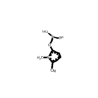 Cn1c(C#N)ccc1OB(O)O